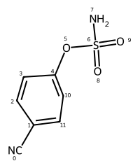 N#Cc1ccc(OS(N)(=O)=O)cc1